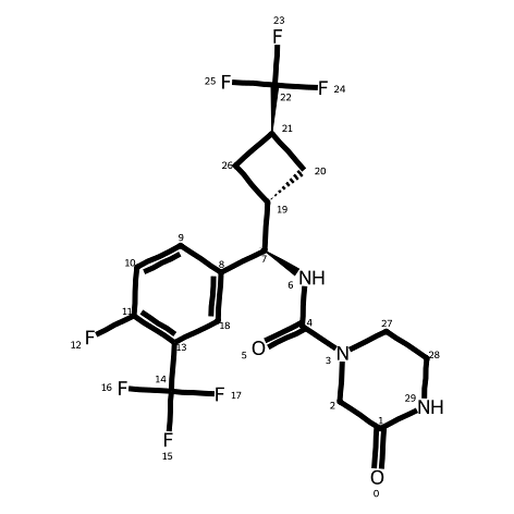 O=C1CN(C(=O)N[C@@H](c2ccc(F)c(C(F)(F)F)c2)[C@H]2C[C@H](C(F)(F)F)C2)CCN1